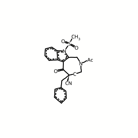 CC(=O)N1CC[C@](C#N)(Cc2ccccc2)C(=O)c2c(n(S(C)(=O)=O)c3ccccc23)C1